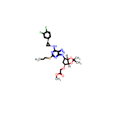 CCCSc1nc(N[C@@H]2C[C@H]2c2ccc(F)c(F)c2)c2nnn(C3C[C@H](OCC(=O)OC)[C@H]4OC(C)(C)O[C@@H]34)c2n1